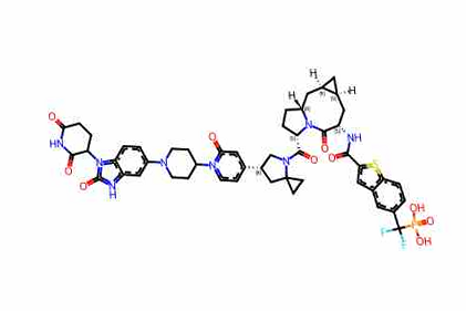 O=C1CCC(n2c(=O)[nH]c3cc(N4CCC(n5ccc([C@@H]6CN(C(=O)[C@@H]7CC[C@@H]8C[C@H]9C[C@H]9C[C@H](NC(=O)c9cc%10cc(C(F)(F)P(=O)(O)O)ccc%10s9)C(=O)N87)C7(CC7)C6)cc5=O)CC4)ccc32)C(=O)N1